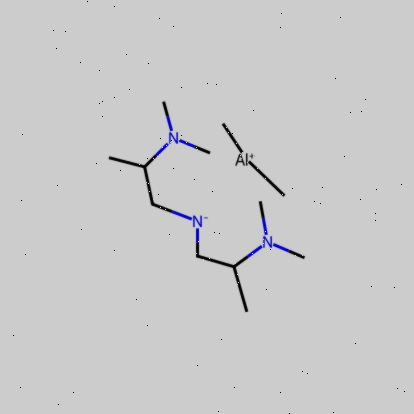 CC(C[N-]CC(C)N(C)C)N(C)C.[CH3][Al+][CH3]